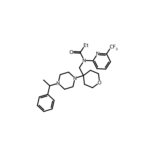 CCC(=O)N(CC1(N2CCN(C(C)c3ccccc3)CC2)CCOCC1)c1cccc(C(F)(F)F)n1